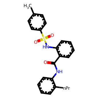 CCCc1ccccc1NC(=O)c1ccccc1NS(=O)(=O)c1ccc(C)cc1